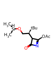 CC(=O)OC1=NC(=O)C1[C@@H](CO[SiH](C)C)C(C)(C)C